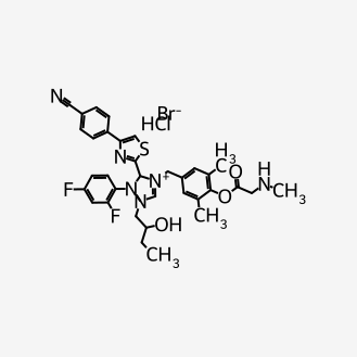 CCC(O)CN1C=[N+](Cc2cc(C)c(OC(=O)CNC)c(C)c2)C(c2nc(-c3ccc(C#N)cc3)cs2)N1c1ccc(F)cc1F.Cl.[Br-]